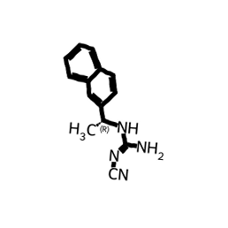 C[C@@H](NC(N)=NC#N)c1ccc2ccccc2c1